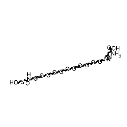 N[C@@H](Cc1cn(CCOCCOCCOCCOCCOCCOCCOCCOCCOCCOCCOCCNC(=O)CSCCO)nn1)C(=O)O